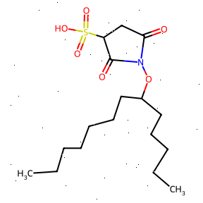 CCCCCCCC(CCCCC)ON1C(=O)CC(S(=O)(=O)O)C1=O